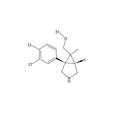 CCOCC1(C)[C@@H]2CNC[C@@]21c1ccc(Cl)c(Cl)c1